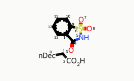 CCCCCCCCCCCC(=O)O.O=C1NS(=O)(=O)c2ccccc21